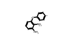 Nc1cc[c]c(Oc2ccccc2)c1N